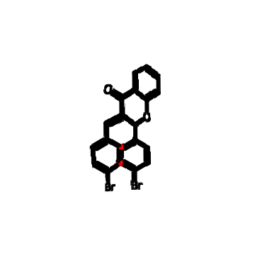 O=C1/C(=C/c2ccc(Br)cc2)C(c2ccc(Br)cc2)Oc2ccccc21